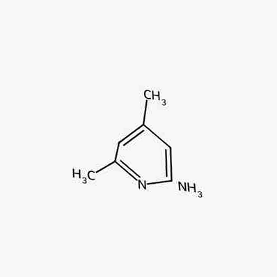 Cc1ccnc(C)c1.N